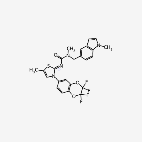 Cc1cn(-c2ccc3c(c2)OC(F)(F)C(F)(F)O3)/c(=N/C(=O)N(C)Cc2ccc3c(ccn3C)c2)s1